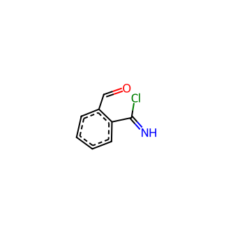 N=C(Cl)c1ccccc1C=O